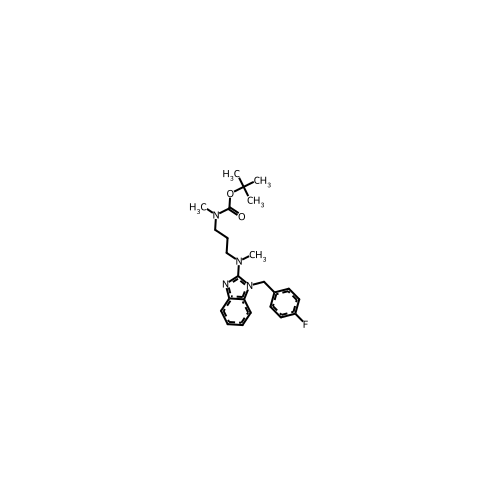 CN(CCCN(C)c1nc2ccccc2n1Cc1ccc(F)cc1)C(=O)OC(C)(C)C